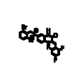 O=C1Nc2cc(S(=O)(=O)Cc3c(Br)cccc3Br)ccc2SC1=Cc1c(F)cc(F)cc1F